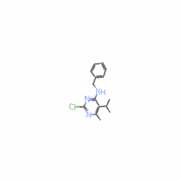 Cc1nc(Cl)nc(NCc2ccccc2)c1C(C)C